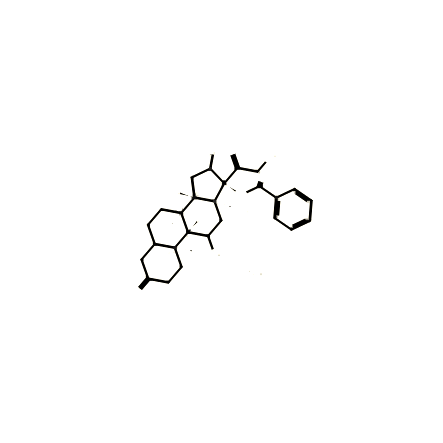 CC1C[C@H]2[C@@H]3CCC4CC(=O)CC[C@]4(C)[C@@]3(F)C(O)C[C@]2(C)[C@@]1(OC(=O)c1ccccc1)C(=O)CO.[NaH]